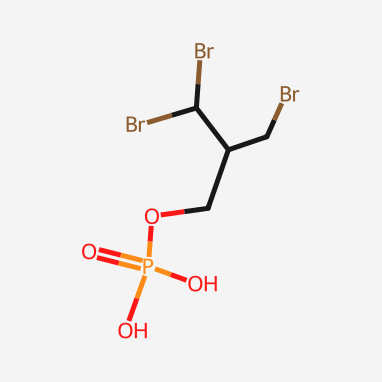 O=P(O)(O)OCC(CBr)C(Br)Br